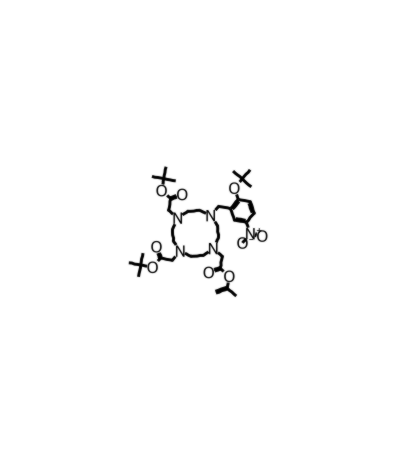 C=C(C)OC(=O)CN1CCN(CC(=O)OC(C)(C)C)CCN(CC(=O)OC(C)(C)C)CCN(Cc2cc([N+](=O)[O-])ccc2OC(C)(C)C)CC1